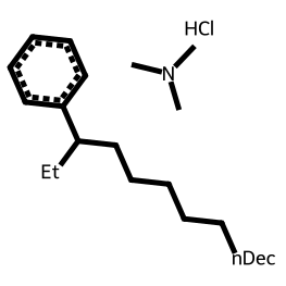 CCCCCCCCCCCCCCCC(CC)c1ccccc1.CN(C)C.Cl